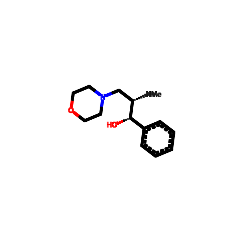 CN[C@@H](CN1CCOCC1)[C@@H](O)c1ccccc1